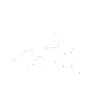 Cc1nc(N)nc2c1C(=NO)NC(c1ccc(F)cc1Br)C2